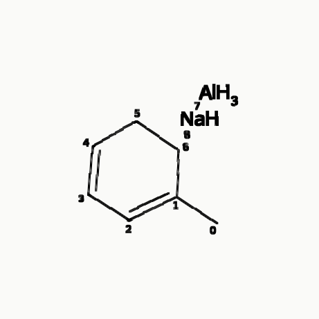 CC1=CC=CCC1.[AlH3].[NaH]